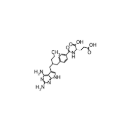 CCCC(Cc1ccc(C(=O)N[C@@H](CCC(=O)O)C(=O)O)cc1)Cc1c[nH]c2nc(N)nc(N)c12